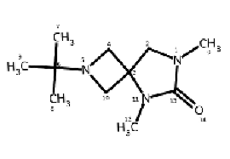 CN1CC2(CN(C(C)(C)C)C2)N(C)C1=O